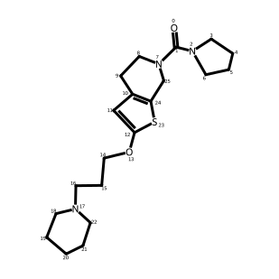 O=C(N1CCCC1)N1CCc2cc(OCCCN3CCCCC3)sc2C1